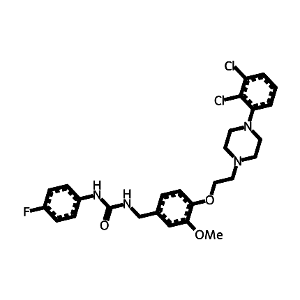 COc1cc(CNC(=O)Nc2ccc(F)cc2)ccc1OCCN1CCN(c2cccc(Cl)c2Cl)CC1